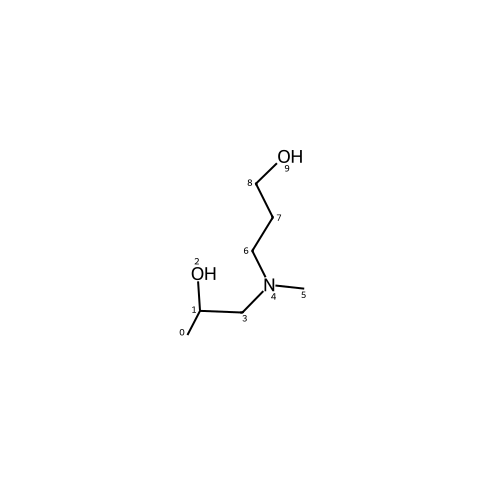 CC(O)CN(C)CCCO